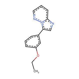 CCOc1cccc(-c2cnc3cccnn23)c1